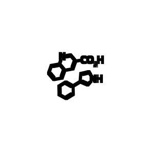 O=C(O)c1cnc2ccccc2c1.c1ccc(-c2cc[nH]c2)cc1